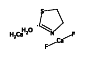 O.[C]1=NCCS1.[CaH2].[F][Ca][F]